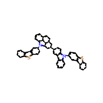 c1ccc2c(c1)sc1ccc(-n3c4ccccc4c4cc(-c5cc6ccc7cccc8c7c6c(c5)n8-c5ccc6sc7ccccc7c6c5)ccc43)cc12